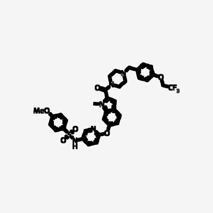 COc1ccc(S(=O)(=O)Nc2ccc(Oc3ccc4cc(C(=O)N5CCN(Cc6ccc(OCC(F)(F)F)cc6)CC5)n(C)c4c3)nc2)cc1